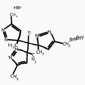 Br.Br.Br.CC1=CC(C)([C]([Ti])(C2(C)C=C(C)N=N2)C2(C)C=C(C)N=N2)N=N1